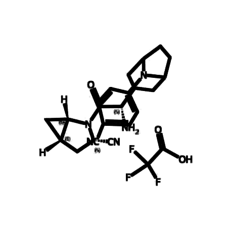 N#Cc1ccc(N2C3CCC2CC([C@H](N)C(=O)N2[C@H](C#N)C[C@@H]4C[C@@H]42)C3)cc1.O=C(O)C(F)(F)F